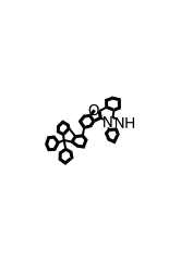 c1ccc(C2(c3ccccc3)c3ccccc3-c3c(-c4ccc5oc6c(c5c4)N4c5ccccc5NC4c4ccccc4-6)cccc32)cc1